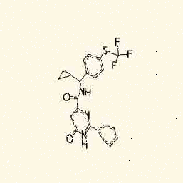 O=C(NC(c1ccc(SC(F)(F)F)cc1)C1CC1)c1cc(=O)[nH]c(-c2ccccc2)n1